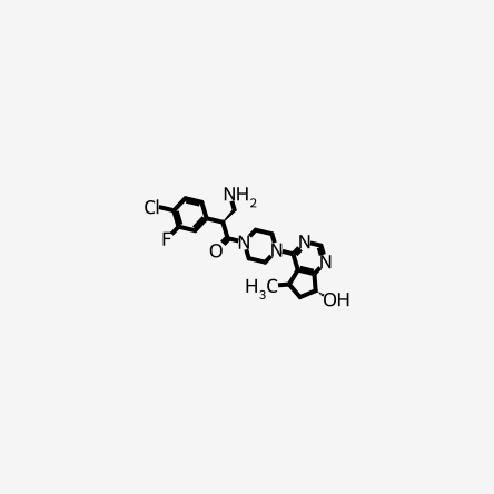 CC1C[C@@H](O)c2ncnc(N3CCN(C(=O)[C@H](CN)c4ccc(Cl)c(F)c4)CC3)c21